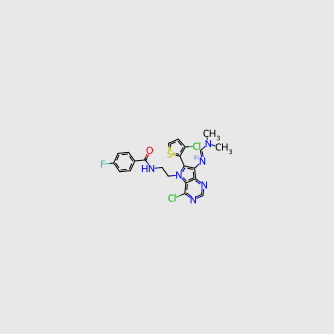 CN(C)/C=N/c1c(-c2sccc2Cl)n(CCNC(=O)c2ccc(F)cc2)c2c(Cl)ncnc12